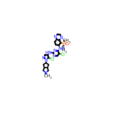 CN1CC2CC(n3ncc(Nc4ncc(Cl)c(Nc5ccc6nccnc6c5P(C)(C)=O)n4)c3Cl)CC2C1